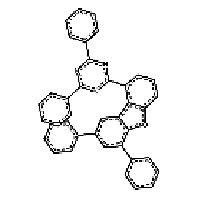 c1ccc(-c2cc(-c3ccccc3)c3oc4cccc(-c5nc(-c6ccccc6)nc(-c6ccccc6)n5)c4c3c2)cc1